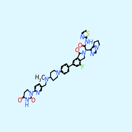 CN(Cc1ccc(N2CCC(=O)NC2=O)nc1)C1CCN(c2ccc(-c3cc(F)c4c(c3)C(=O)N(C(C(=O)Nc3nccs3)c3ncn5c3CCC5)C4)cc2)CC1